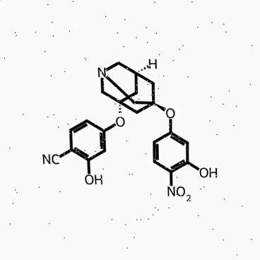 N#Cc1ccc(O[C@@]23C[C@H]4CN(C2)C[C@](Oc2ccc([N+](=O)[O-])c(O)c2)(C4)C3)cc1O